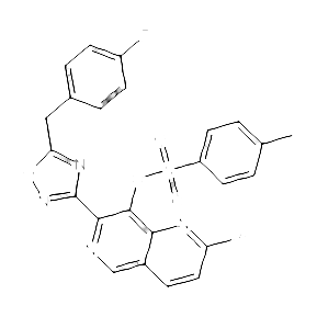 Cc1ccc(S(=O)(=O)Oc2c(-c3noc(Cc4ccc(F)cc4)n3)ncc3ccc(Br)nc23)cc1